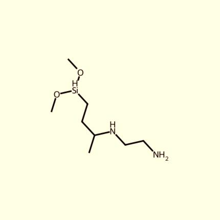 CO[SiH](CCC(C)NCCN)OC